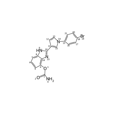 NC(=O)Oc1cccc2[nH]c(-c3ccn(-c4ccc(Br)cc4)c3)nc12